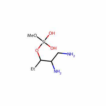 CCC(O[Si](O)(O)OC)C(N)CN